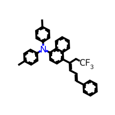 Cc1ccc(N(c2ccc(C)cc2)c2ccc(C(=CC=Cc3ccccc3)CC(F)(F)F)c3ccccc23)cc1